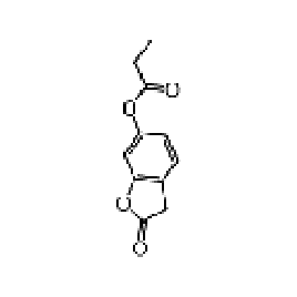 CCC(=O)Oc1ccc2c(c1)OC(=O)C2